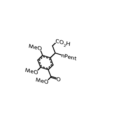 CCCCCC(CC(=O)O)c1cc(C(=O)OC)c(OC)cc1OC